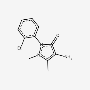 CCc1ccccc1-n1c(=O)c(N)c(C)n1C